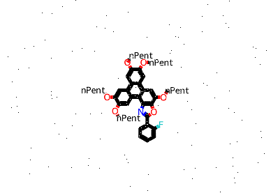 CCCCCOc1cc2c3cc(OCCCCC)c(OCCCCC)cc3c3c(cc(OCCCCC)c4oc(-c5ccccc5F)nc43)c2cc1OCCCCC